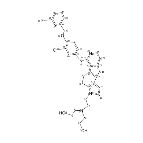 OCCN(CCO)CCn1ncc2c1CCc1c-2sc2ncnc(Nc3ccc(OCc4cccc(F)c4)c(Cl)c3)c12